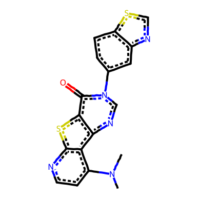 CN(C)c1ccnc2sc3c(=O)n(-c4ccc5scnc5c4)cnc3c12